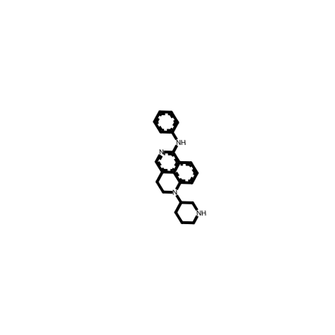 c1ccc(Nc2ncc3c4c(cccc24)N(C2CCCNC2)CC3)cc1